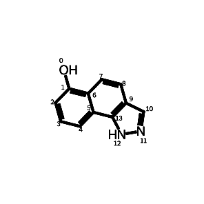 Oc1cccc2c1ccc1cn[nH]c12